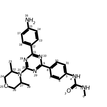 CNC(=O)Nc1ccc(-c2nc(-c3ccc(N)cc3)nc(N3C(C)COCC3C)n2)cc1